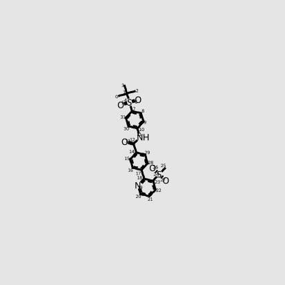 CC(C)(C)S(=O)(=O)c1ccc(NC(=O)c2ccc(-c3ncccc3S(C)(=O)=O)cc2)cc1